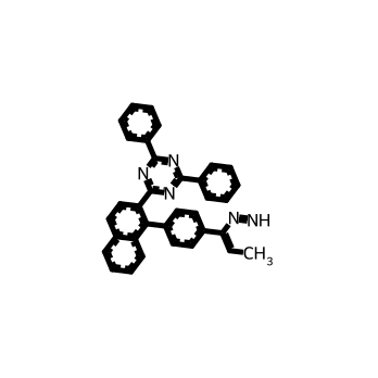 C/C=C(\N=N)c1ccc(-c2c(-c3nc(-c4ccccc4)nc(-c4ccccc4)n3)ccc3ccccc23)cc1